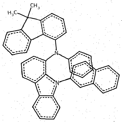 CC1(C)c2ccccc2-c2c(N(c3ccccc3)c3cccc4c5ccccc5n(-c5ccc6ccccc6c5)c34)cccc21